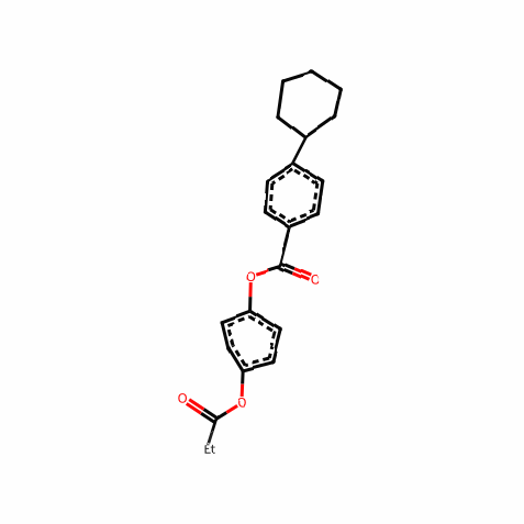 CCC(=O)Oc1ccc(OC(=O)c2ccc(C3CCCCC3)cc2)cc1